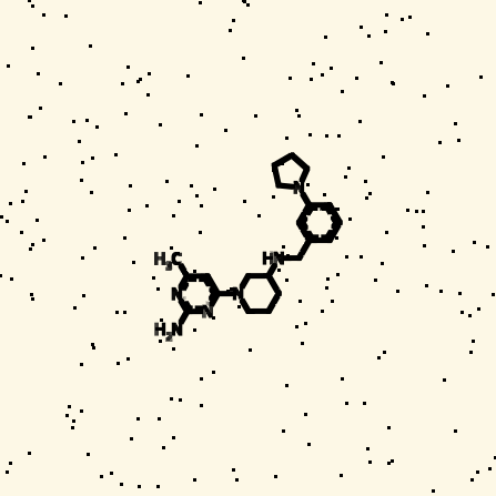 Cc1cc(N2CCCC(NCc3cccc(N4CCCC4)c3)C2)nc(N)n1